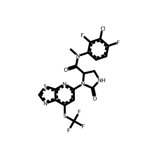 CN(C(=O)C1CNC(=O)N1c1cc(SC(F)(F)F)c2ncsc2n1)c1ccc(F)c(Cl)c1F